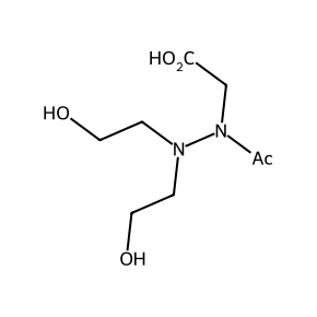 CC(=O)N(CC(=O)O)N(CCO)CCO